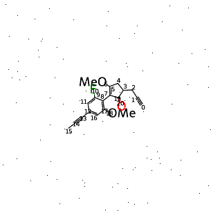 C#CCC1CC(OC)=C(c2c(F)cc(C#CC)cc2OC)C1=O